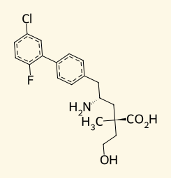 C[C@@](CCO)(C[C@H](N)Cc1ccc(-c2cc(Cl)ccc2F)cc1)C(=O)O